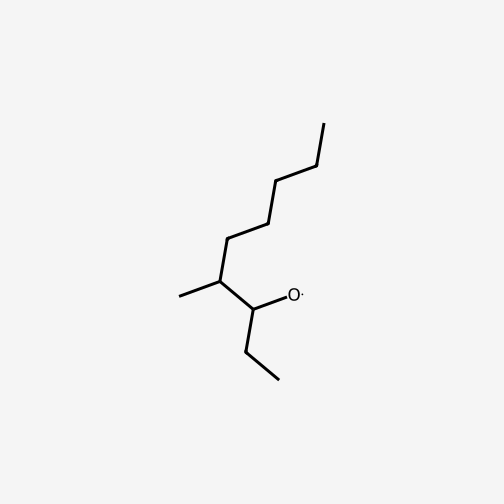 CCCCCC(C)C([O])CC